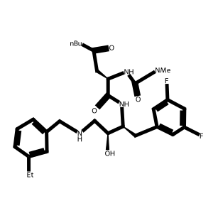 CCCCC(=O)C[C@@H](NC(=O)NC)C(=O)N[C@@H](Cc1cc(F)cc(F)c1)[C@@H](O)CNCc1cccc(CC)c1